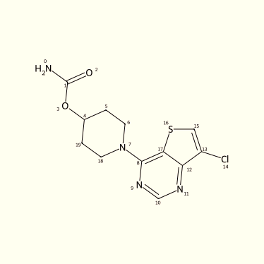 NC(=O)OC1CCN(c2ncnc3c(Cl)csc23)CC1